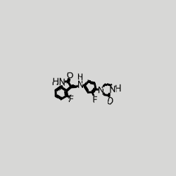 O=C1CN(c2ccc(NC=C3C(=O)Nc4cccc(F)c43)cc2F)CCN1